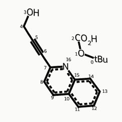 CC(C)(C)OC(=O)O.OCC#Cc1ccc2ccccc2n1